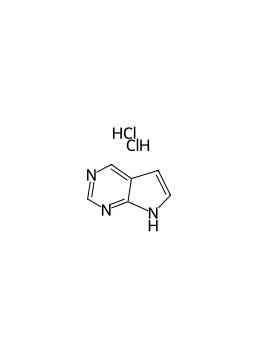 Cl.Cl.c1ncc2cc[nH]c2n1